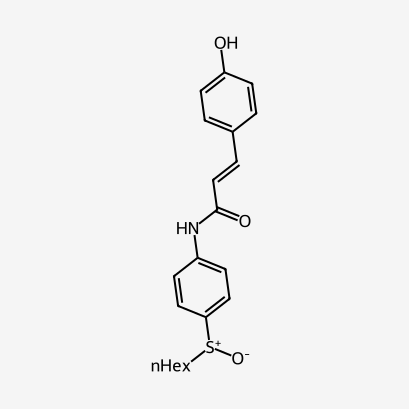 CCCCCC[S+]([O-])c1ccc(NC(=O)C=Cc2ccc(O)cc2)cc1